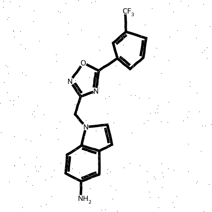 Nc1ccc2c(ccn2Cc2noc(-c3cccc(C(F)(F)F)c3)n2)c1